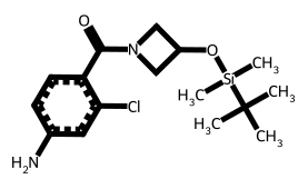 CC(C)(C)[Si](C)(C)OC1CN(C(=O)c2ccc(N)cc2Cl)C1